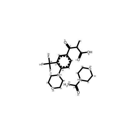 CC(C(=O)O)C(=O)c1ccc(N2CCOCC2)c(C(F)(F)F)c1.NC(=O)N1CCOCC1